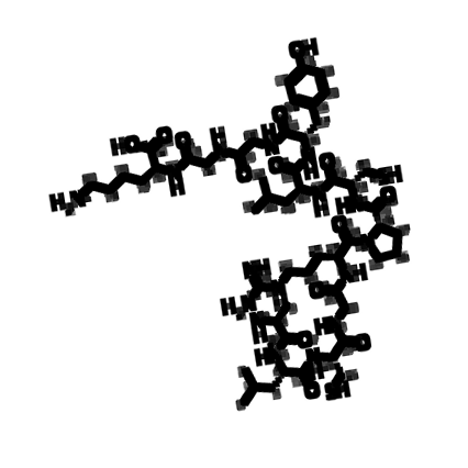 CC(C)C[C@H](NC(=O)[C@H](C)N)C(=O)N[C@@H](CS)C(=O)NCC(=O)N[C@@H](CCCNC(=N)N)C(=O)N1CCC[C@H]1C(=O)N[C@@H](CS)C(=O)N[C@@H](CC(C)C)C(=O)N[C@@H](Cc1ccc(O)cc1)C(=O)NCC(=O)NCC(=O)N[C@@H](CCCCN)C(=O)O